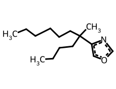 CCCCCCC(C)(CCCC)c1cocn1